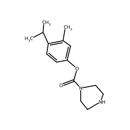 Cc1cc(OC(=O)N2CCNCC2)ccc1C(C)C